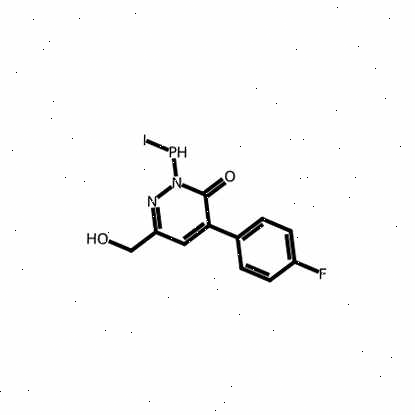 O=c1c(-c2ccc(F)cc2)cc(CO)nn1PI